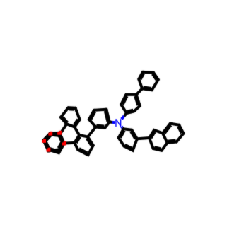 c1ccc(-c2ccc(N(c3cccc(-c4ccc5ccccc5c4)c3)c3cccc(-c4cccc(-c5ccccc5)c4-c4ccccc4-c4ccccc4)c3)cc2)cc1